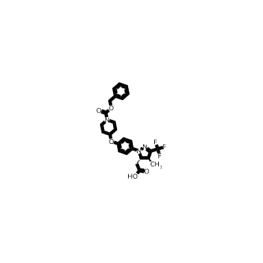 C[C@@H]1C(C(F)(F)F)=NN(c2ccc(OC3CCN(C(=O)OCc4ccccc4)CC3)cc2)[C@H]1CC(=O)O